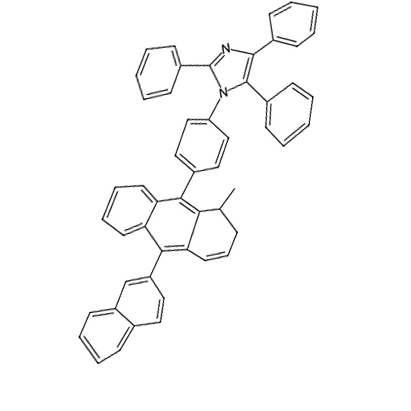 CC1CC=Cc2c1c(-c1ccc(-n3c(-c4ccccc4)nc(-c4ccccc4)c3-c3ccccc3)cc1)c1ccccc1c2-c1ccc2ccccc2c1